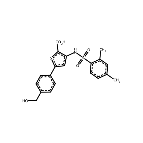 Cc1ccc(S(=O)(=O)Nc2cc(-c3ccc(CO)cc3)sc2C(=O)O)c(C)c1